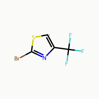 FC(F)(F)c1[c]sc(Br)n1